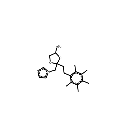 CCCCC1COC(CCc2c(C)c(C)c(C)c(C)c2C)(Cn2ccnc2)O1